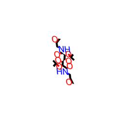 CC1(C)OC(C(=O)NCC2CO2)[C@H](C2OC(C)(C)O[C@@H]2C(=O)NCC2CO2)O1